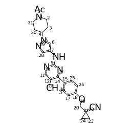 CC(=O)N1CCC(n2cc(Nc3ncc(C)c(-c4ccc(OCC5(C#N)CC5)cc4)n3)cn2)CC1